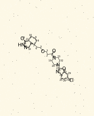 O=C(CCOCCc1cccc2c(=O)[nH]ncc12)N1CCN(c2nc3ccc(Cl)cc3o2)CC1